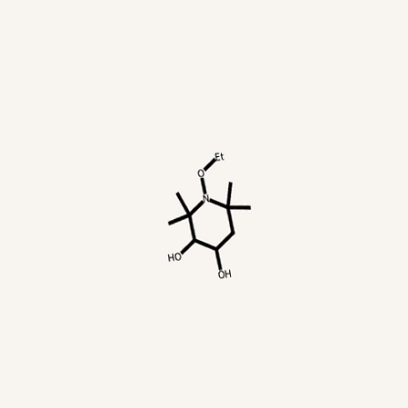 CCON1C(C)(C)CC(O)C(O)C1(C)C